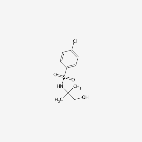 CC(C)(CO)NS(=O)(=O)c1ccc(Cl)cc1